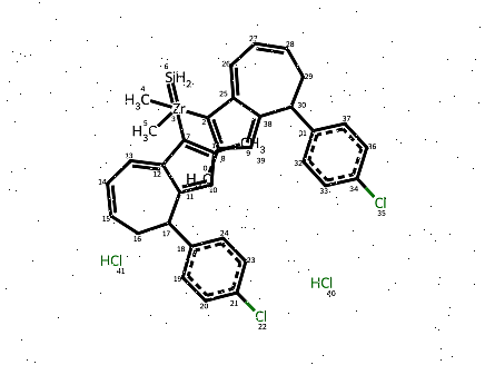 CC1=[C]([Zr]([CH3])([CH3])(=[SiH2])[C]2=C(C)C=C3C2=CC=CCC3c2ccc(Cl)cc2)C2=CC=CCC(c3ccc(Cl)cc3)C2=C1.Cl.Cl